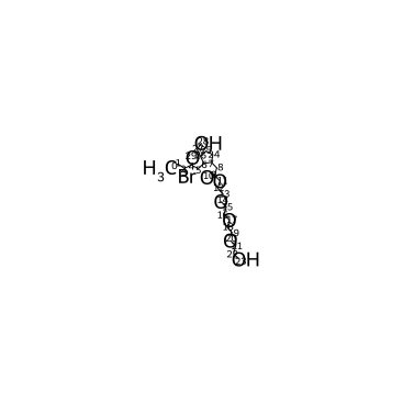 CCC(Br)C1CC2C(CC(=O)OCCOCCOCCOCCO)CCC2(CO)O1